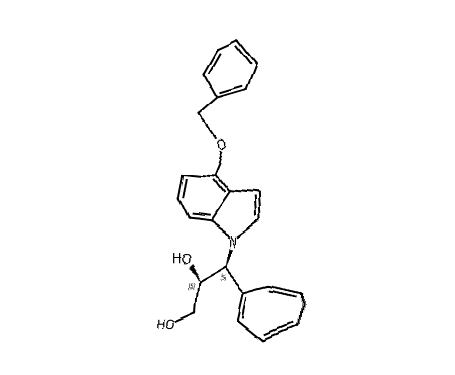 OC[C@@H](O)[C@H](c1ccccc1)n1ccc2c(OCc3ccccc3)cccc21